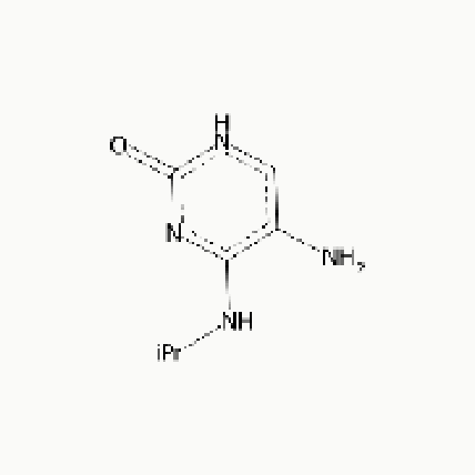 CC(C)Nc1nc(=O)[nH]cc1N